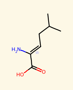 CC(C)C/C=C(\N)C(=O)O